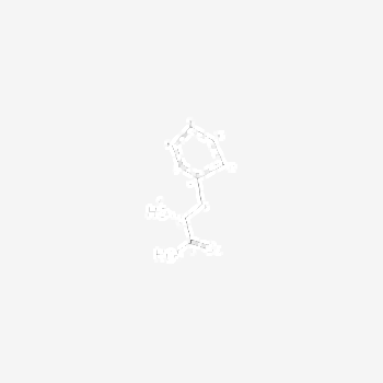 OC(=S)[C@H](O)Cc1ccccc1